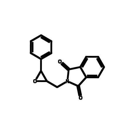 O=C1c2ccccc2C(=O)N1CC1OC1c1ccccc1